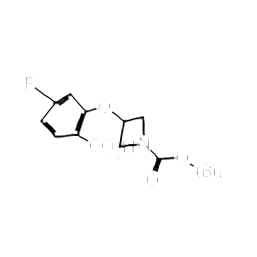 CC(C)(C)OC(=O)N1CC(Oc2cc(F)ccc2C(=O)O)C1